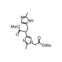 COC(=O)Cn1cc(C(Cc2[c]nc(C)[nH]2)C(=O)OC)nc1C